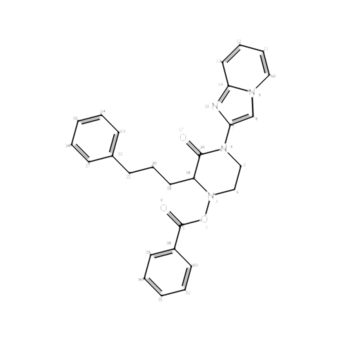 O=C(ON1CCN(c2cn3ccccc3n2)C(=O)C1CCCc1ccccc1)c1ccccc1